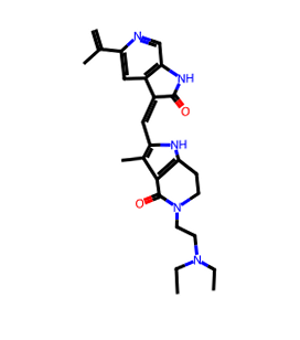 C=C(C)c1cc2c(cn1)NC(=O)C2=Cc1[nH]c2c(c1C)C(=O)N(CCN(CC)CC)CC2